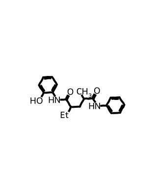 CCC(CC(C)C(=O)Nc1ccccc1)C(=O)Nc1ccccc1O